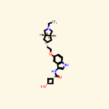 O=C(Nc1c[nH]c2ccc(OCC[C@@H]3C[C@@H]4CN(CC(F)(F)F)C[C@@H]4C3)cc12)[C@H]1C[C@@H](O)C1